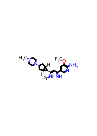 CC(C)N/C(=C\C(=N)c1cnc(N)c(OC(F)(F)F)c1)[C@H]1[C@@H]2C[C@H](N3CCN(C)CC3)C[C@@H]21